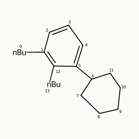 CCCCc1cccc(C2CCCCC2)c1CCCC